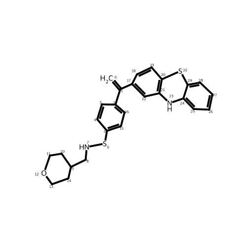 C=C(c1ccc(SNCC2CCOCC2)cc1)c1ccc2c(c1)Nc1ccccc1S2